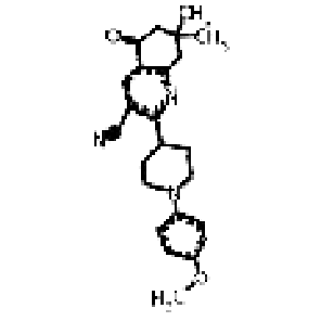 COc1ccc(N2CCC(c3nc4c(cc3C#N)C(=O)CC(C)(C)C4)CC2)cc1